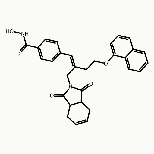 O=C(NO)c1ccc(C=C(CCOc2cccc3ccccc23)CN2C(=O)C3CC=CCC3C2=O)cc1